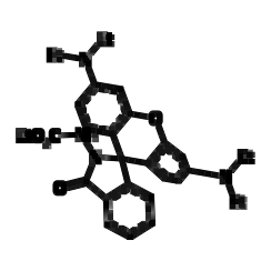 CCOC(=O)NN1C(=O)c2ccccc2C12c1ccc(N(CC)CC)cc1Oc1cc(N(CC)CC)ccc12